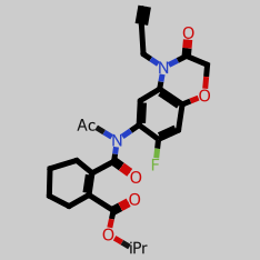 C#CCN1C(=O)COc2cc(F)c(N(C(C)=O)C(=O)C3=C(C(=O)OC(C)C)CCCC3)cc21